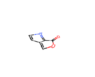 O=C1OC=C2C=CN=C12